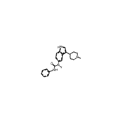 CN1CCC(c2c[nH]c3ccc(N(F)C(=O)Nc4ccccc4)cc23)CC1